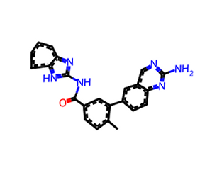 Cc1ccc(C(=O)Nc2nc3ccccc3[nH]2)cc1-c1ccc2nc(N)ncc2c1